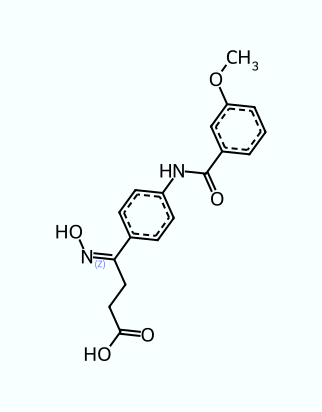 COc1cccc(C(=O)Nc2ccc(/C(CCC(=O)O)=N\O)cc2)c1